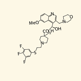 COc1ccc2ncc(CN3CCOCC3)c([C@@H](O)CCC3(C(=O)O)CCN(CCSc4cc(F)c(F)c(F)c4)CC3)c2c1